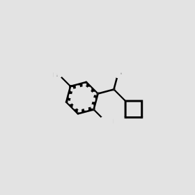 Oc1ccc(Br)cc1C(O)C1CCC1